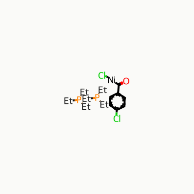 CCP(CC)CC.CCP(CC)CC.O=[C]([Ni][Cl])c1ccc(Cl)cc1